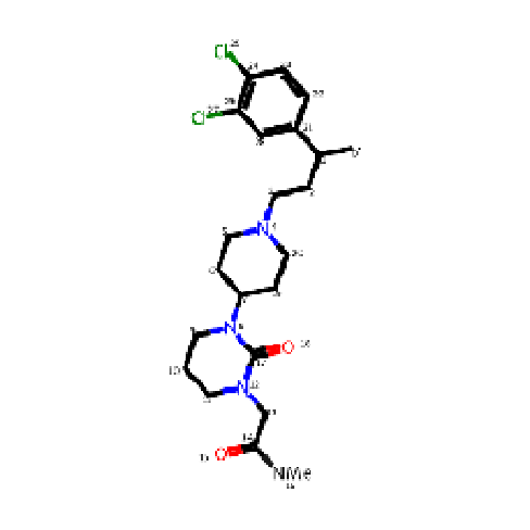 [CH2]C(CCN1CCC(N2CCCN(CC(=O)NC)C2=O)CC1)c1ccc(Cl)c(Cl)c1